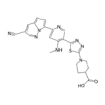 CNc1cc(-c2ccc3cc(C#N)cnn23)ncc1-c1nnc(N2CCC(C(=O)O)CC2)s1